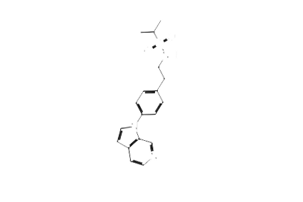 CC(C)S(=O)(=O)NC[C@H](C)c1ccc(-n2ccc3ccncc32)cc1